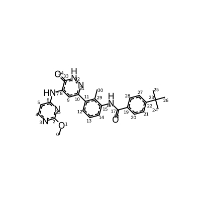 COc1nccc(Nc2cc(-c3cccc(NC(=O)c4ccc(C(C)(C)C)cc4)c3C)n[nH]c2=O)n1